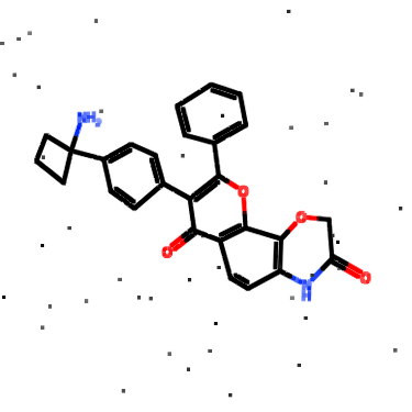 NC1(c2ccc(-c3c(-c4ccccc4)oc4c5c(ccc4c3=O)NC(=O)CO5)cc2)CCC1